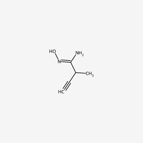 C#CC(C)/C(N)=N/O